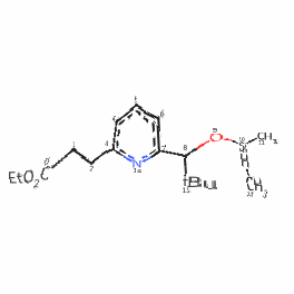 CCOC(=O)CCc1cccc(C(O[SiH](C)C)C(C)(C)C)n1